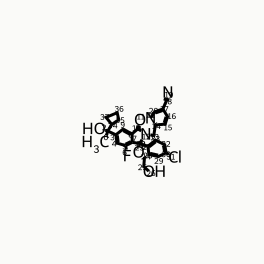 CC(O)(c1cc(F)c2c(c1)C(=O)N(Cc1ccc(C#N)cn1)[C@@]2(OCCO)c1ccc(Cl)cc1)C1CCC1